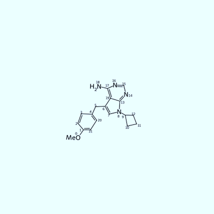 COc1ccc(Cc2cn(C3CCC3)c3ncnc(N)c23)cc1